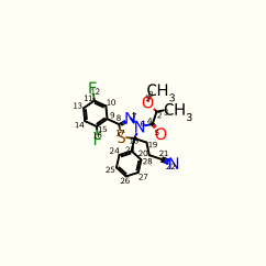 COC(C)C(=O)N1N=C(c2cc(F)ccc2F)SC1(CCC#N)c1ccccc1